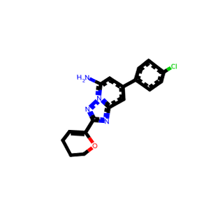 Nc1cc(-c2ccc(Cl)cc2)cc2nc(C3=CCCCO3)nn12